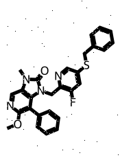 COc1ncc2c(c1-c1ccccc1)n(Cc1ncc(SCc3ccccc3)cc1F)c(=O)n2C